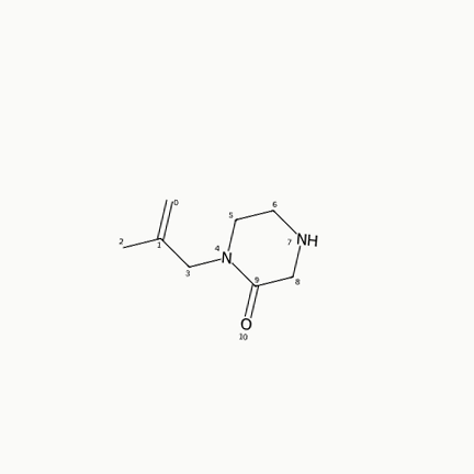 C=C(C)CN1CCNCC1=O